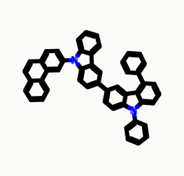 c1ccc(-c2cccc3c2c2cc(-c4ccc5c(c4)c4ccccc4n5-c4ccc5ccc6ccccc6c5c4)ccc2n3-c2ccccc2)cc1